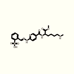 CNCCCCC(NC(=O)c1ccc(N/N=C/c2ccccc2S(=O)(=O)O)nc1)C(=O)OC